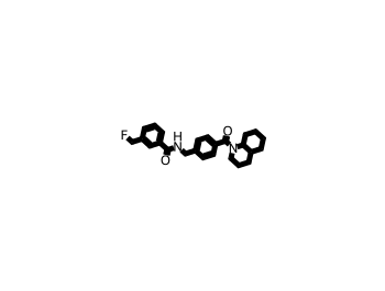 O=C(NCc1ccc(C(=O)N2CCCC3CCCCC32)cc1)c1cccc(CF)c1